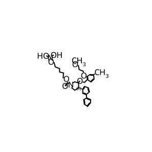 COCCCOc1cc(C)ccc1COC1CN(C(=O)OCCCCCCON(O)O)CC[C@@H]1c1cccc(-c2ccccc2)c1